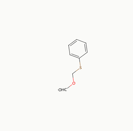 O=[C]OCSc1ccccc1